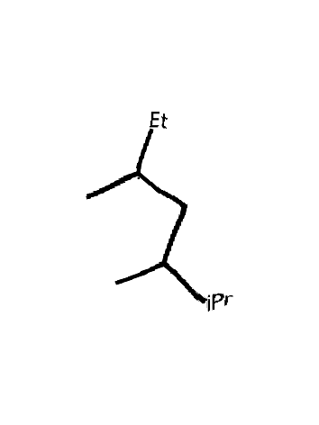 CC[C](C)CC(C)C(C)C